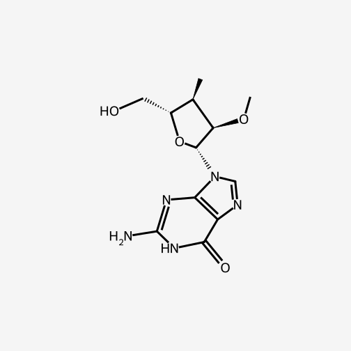 CO[C@@H]1[C@H](C)[C@@H](CO)O[C@H]1n1cnc2c(=O)[nH]c(N)nc21